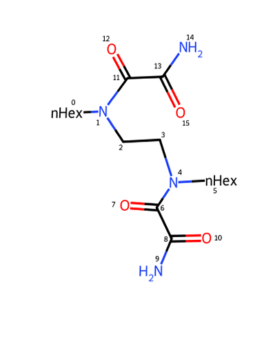 CCCCCCN(CCN(CCCCCC)C(=O)C(N)=O)C(=O)C(N)=O